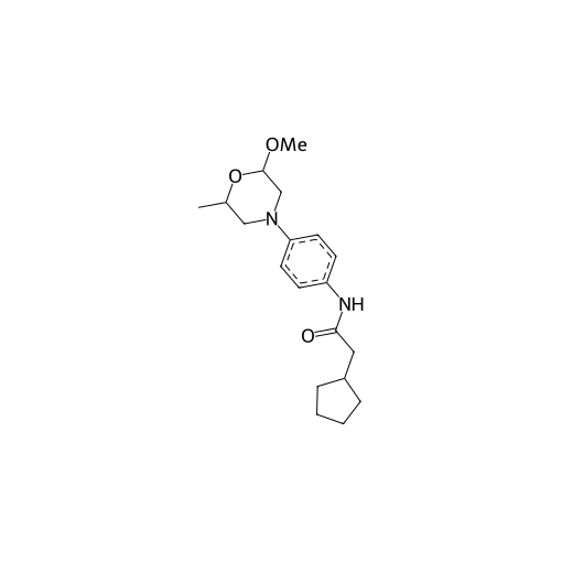 COC1CN(c2ccc(NC(=O)CC3CCCC3)cc2)CC(C)O1